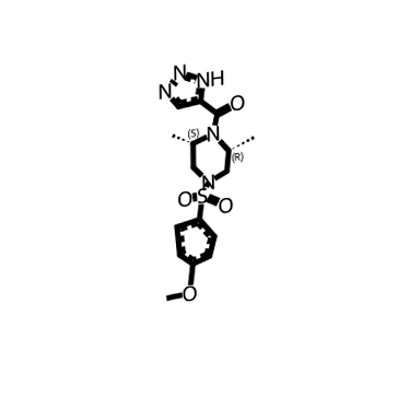 COc1ccc(S(=O)(=O)N2C[C@@H](C)N(C(=O)c3cnn[nH]3)[C@@H](C)C2)cc1